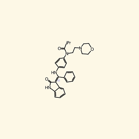 CC(C)C(=O)N(CCN1CCOCC1)c1ccc(N/C(=C2\C(=O)Nc3ccccc32)c2ccccc2)cc1